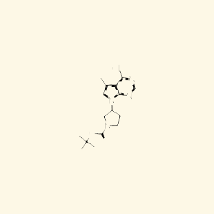 Cc1cn(C2CCN(C(=O)OC(C)(C)C)C2)c2ncnc(Cl)c12